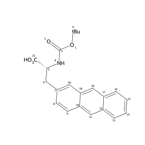 CC(C)(C)OC(=O)N[C@H](Cc1ccc2cc3ccccc3cc2c1)C(=O)O